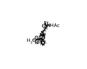 CCC(=O)C(CCCCn1cc(C[C@H](NC(=O)C(C)N)C(=O)N2CCCCC2)nn1)NC(C)=O